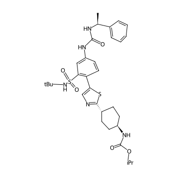 CC(C)OC(=O)N[C@H]1CC[C@H](c2ncc(-c3ccc(NC(=O)N[C@@H](C)c4ccccc4)cc3S(=O)(=O)NC(C)(C)C)s2)CC1